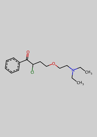 CCN(CC)CCOCCC(Cl)C(=O)c1ccccc1